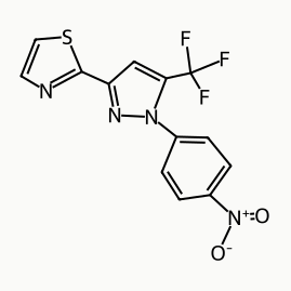 O=[N+]([O-])c1ccc(-n2nc(-c3nccs3)cc2C(F)(F)F)cc1